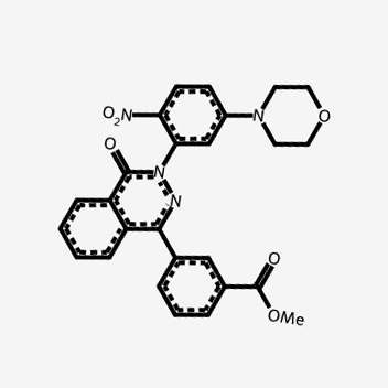 COC(=O)c1cccc(-c2nn(-c3cc(N4CCOCC4)ccc3[N+](=O)[O-])c(=O)c3ccccc23)c1